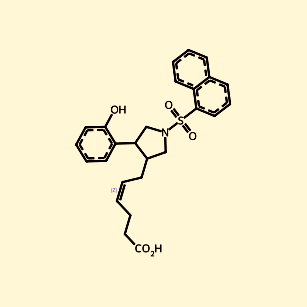 O=C(O)CC/C=C\CC1CN(S(=O)(=O)c2cccc3ccccc23)CC1c1ccccc1O